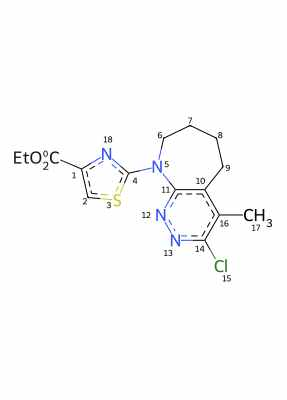 CCOC(=O)c1csc(N2CCCCc3c2nnc(Cl)c3C)n1